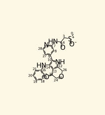 C[S+]([O-])CC(=O)Nc1cc(-c2[nH]c3c(c2Nc2ccccc2)C(=O)COC3)ccn1